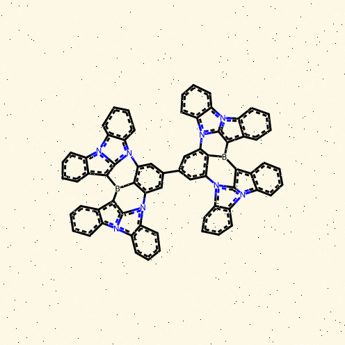 c1ccc2c(c1)c1c3n(c4ccccc4n23)-c2cc(-c3cc4c5c(c3)-n3c6ccccc6n6c7ccccc7c(c36)B5c3c5ccccc5n5c6ccccc6n-4c35)cc3c2B1c1c2ccccc2n2c4ccccc4n-3c12